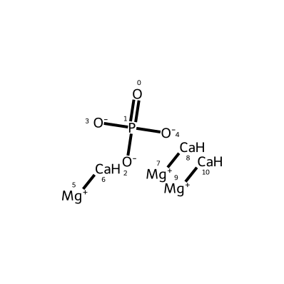 O=P([O-])([O-])[O-].[Mg+][CaH].[Mg+][CaH].[Mg+][CaH]